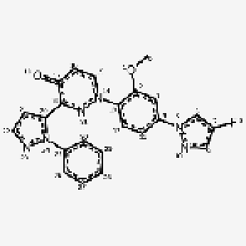 COc1cc(-n2cc(F)cn2)ccc1-n1ccc(=O)c(-c2ccnn2-c2ccccc2)n1